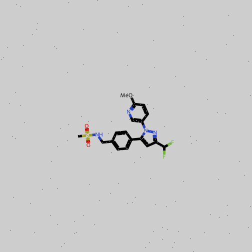 COc1ccc(-n2nc(C(F)F)cc2-c2ccc(CNS(C)(=O)=O)cc2)cn1